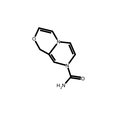 NC(=O)N1C=CN2C=COCC2=C1